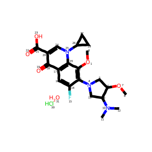 COc1c(N2CC(OC)C(N(C)C)C2)c(F)cc2c(=O)c(C(=O)O)cn(C3CC3)c12.Cl.O